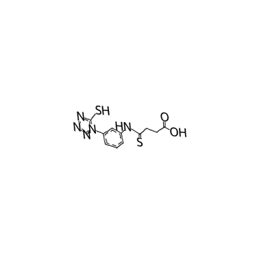 O=C(O)CCC(=S)Nc1cccc(-n2nnnc2S)c1